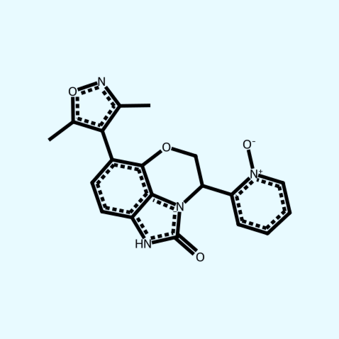 Cc1noc(C)c1-c1ccc2[nH]c(=O)n3c2c1OCC3c1cccc[n+]1[O-]